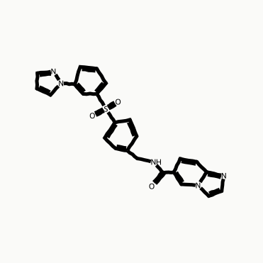 O=C(NCc1ccc(S(=O)(=O)c2cccc(-n3cccn3)c2)cc1)c1ccc2nccn2c1